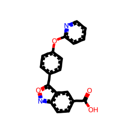 O=C(O)c1ccc2noc(-c3ccc(Oc4ccccn4)cc3)c2c1